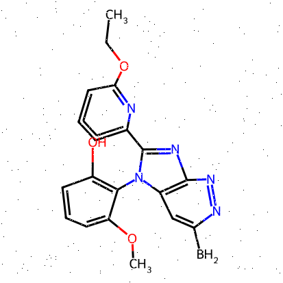 Bc1cc2c(nn1)nc(C1=C=C=CC(OCC)=N1)n2-c1c(O)cccc1OC